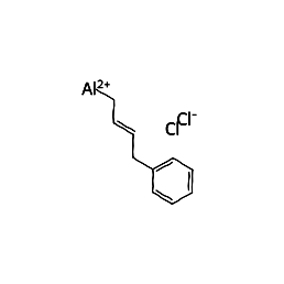 [Al+2][CH2]C=CCc1ccccc1.[Cl-].[Cl-]